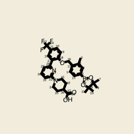 Cc1cc(B2OC(C)(C)C(C)(C)O2)ccc1COc1ccc(C(F)(F)F)cc1-c1cccc(N2CCC(C(=O)O)CC2)n1